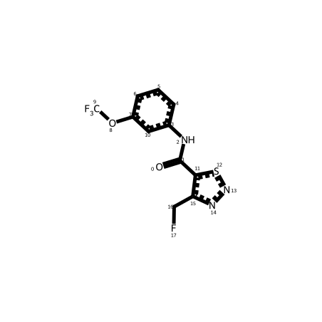 O=C(Nc1cccc(OC(F)(F)F)c1)c1snnc1CF